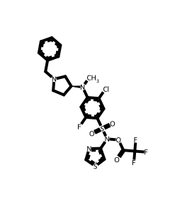 CN(c1cc(F)c(S(=O)(=O)N(OC(=O)C(F)(F)F)c2cscn2)cc1Cl)[C@H]1CCN(Cc2ccccc2)C1